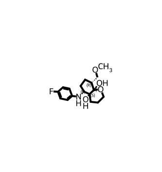 COC[C@H]1CC[C@@H](Nc2ccc(F)cc2)[C@@]2(O)CCCO[C@@]12O